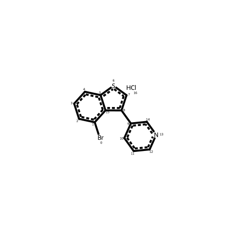 Brc1cccc2scc(-c3cccnc3)c12.Cl